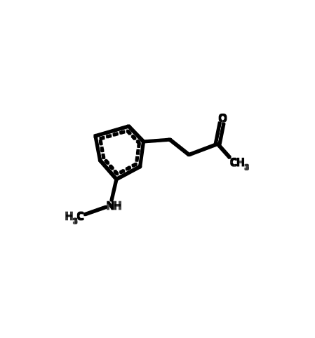 CNc1cccc(CCC(C)=O)c1